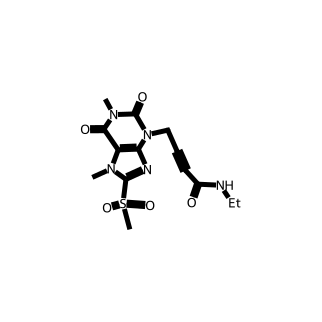 CCNC(=O)C#CCn1c(=O)n(C)c(=O)c2c1nc(S(C)(=O)=O)n2C